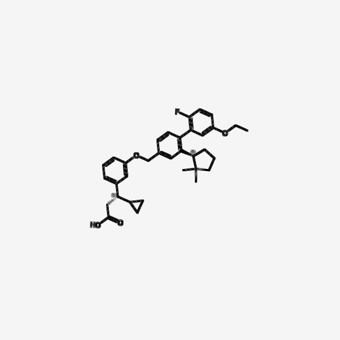 CCOc1ccc(F)c(-c2ccc(COc3cccc([C@@H](CC(=O)O)C4CC4)c3)cc2[C@H]2CCCC2(C)C)c1